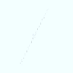 CCCCCCCCCCCCCCCCCCNNCCCCCCCCCCCCCCCCCC